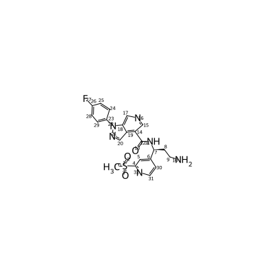 CS(=O)(=O)c1cc([C@H](CCN)NC(=O)c2cncc3c2cnn3-c2ccc(F)cc2)ccn1